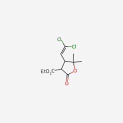 CCOC(=O)C1C(=O)OC(C)(C)C1C=C(Cl)Cl